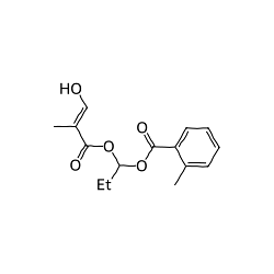 CCC(OC(=O)C(C)=CO)OC(=O)c1ccccc1C